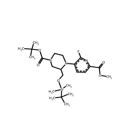 COC(=O)c1ccc(N2CCN(C(=O)OC(C)(C)C)CC2CO[Si](C)(C)C(C)(C)C)c(F)n1